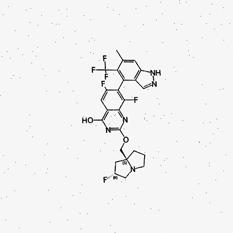 Cc1cc2[nH]ncc2c(-c2c(F)cc3c(O)nc(OC[C@@]45CCCN4C[C@H](F)C5)nc3c2F)c1C(F)(F)F